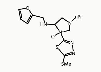 CCCN1CC(NCc2ccco2)[N+]([O-])(c2nnc(SC)s2)C1